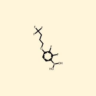 OB(O)c1ccc(OCCCC(F)(F)F)c(F)c1F